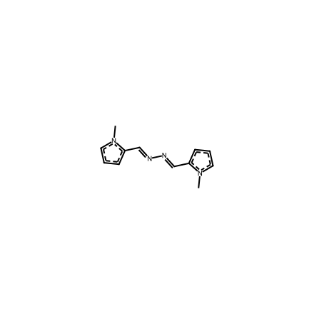 Cn1cccc1C=NN=Cc1cccn1C